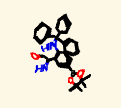 CC1(C)OB(c2ccc(NC(c3ccccc3)(c3ccccc3)c3ccccc3)c(C(=N)C=O)c2)OC1(C)C